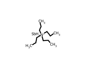 CCC[N+](CCC)(CCC)CCC.[SbH3]